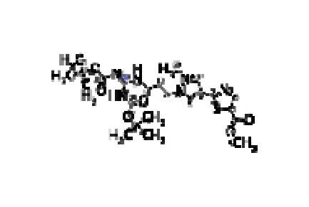 COC(=O)C1CN=C(c2cn(CCCN/C(=N/C(=O)OC(C)(C)C)NC(=O)OC(C)(C)C)[n+](C)c2)S1